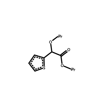 CC(C)OC(=O)C(OC(C)C)c1cccs1